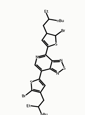 CCCCC(CC)Cc1cc(-c2cnc(C3=CC(CC(CC)CCCC)C(Br)S3)c3nsnc23)sc1Br